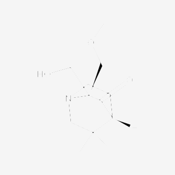 COC[C@@]1(CO)C(=O)[C@@H]2CCN1CC2(C)C